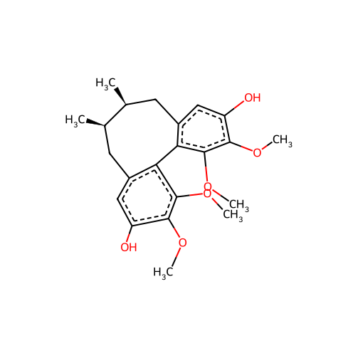 COc1c(O)cc2c(c1OC)-c1c(cc(O)c(OC)c1OC)C[C@H](C)[C@H](C)C2